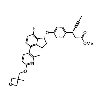 CC#C[C@@H](CC(=O)OC)c1ccc(O[C@@H]2CCc3c(-c4ccc(OCC5(C)COC5)nc4C)ccc(F)c32)cc1